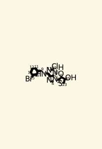 OC1C(n2cnc3c(NCc4cccc(Br)c4)nc(Cl)nc32)SC[C@@H]1O